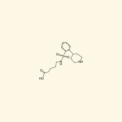 O=C(O)CCCCNS(=O)(=O)c1ccccc1C1CCNCC1